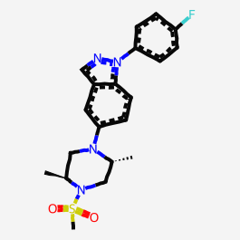 C[C@@H]1CN(S(C)(=O)=O)[C@@H](C)CN1c1ccc2c(cnn2-c2ccc(F)cc2)c1